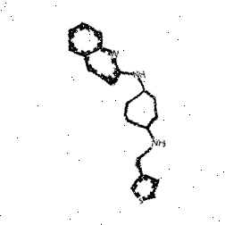 c1ccc2nc(NC3CCC(NCc4ccsc4)CC3)ccc2c1